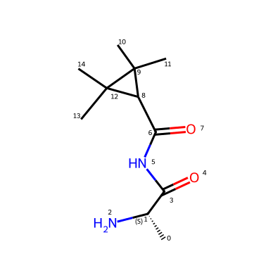 C[C@H](N)C(=O)NC(=O)C1C(C)(C)C1(C)C